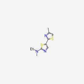 CCN(C)c1ncc(-c2nc(C)cs2)s1